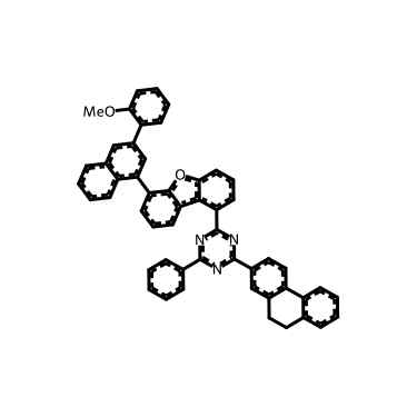 COc1ccccc1-c1cc(-c2cccc3c2oc2cccc(-c4nc(-c5ccccc5)nc(-c5ccc6c(c5)CCc5ccccc5-6)n4)c23)c2ccccc2c1